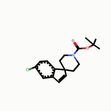 CC(C)(C)OC(=O)N1CCC2(C=Cc3cc(Cl)ccc32)CC1